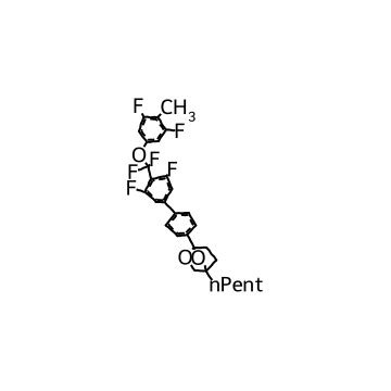 CCCCCC12CCC(c3ccc(-c4cc(F)c(C(F)(F)Oc5cc(F)c(C)c(F)c5)c(F)c4)cc3)(OC1)OC2